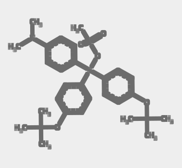 CN(C)c1ccc(S(OS(C)(=O)=O)(c2ccc(OC(C)(C)C)cc2)c2ccc(OC(C)(C)C)cc2)cc1